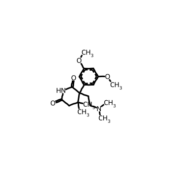 COc1cc(OC)cc(C2(CCN(C)C)C(=O)NC(=O)CC2(C)C)c1